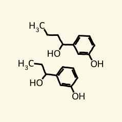 CCC(O)c1cccc(O)c1.CCCC(O)c1cccc(O)c1